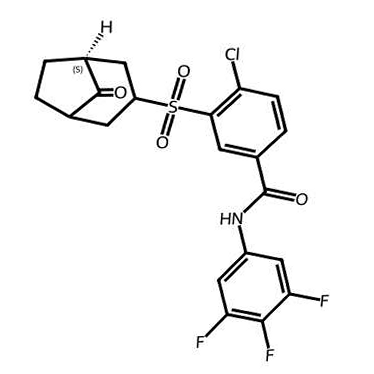 O=C(Nc1cc(F)c(F)c(F)c1)c1ccc(Cl)c(S(=O)(=O)C2CC3CC[C@@H](C2)C3=O)c1